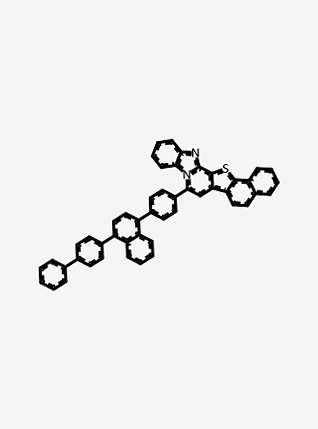 c1ccc(-c2ccc(-c3ccc(-c4ccc(-c5cc6c7ccc8ccccc8c7sc6c6nc7ccccc7n56)cc4)c4ccccc34)cc2)cc1